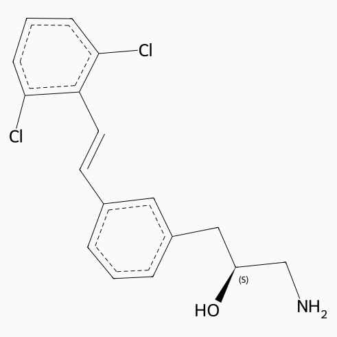 NC[C@@H](O)Cc1cccc(C=Cc2c(Cl)cccc2Cl)c1